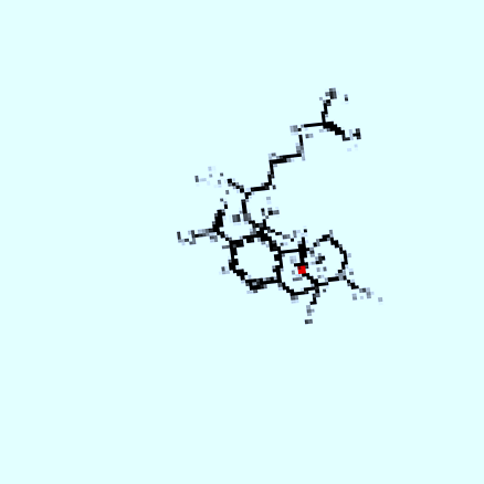 CN1CC[C@]23C[C@H](NC(CCCNC(=N)N)C(=O)O)CC[C@@]2(O)[C@H]1Cc1ccc(C(N)=O)c(O)c13